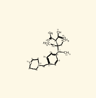 CCC(CC)(C(C(=O)O)C(=O)O)N(C)c1ccc(CN2CCOCC2)cc1